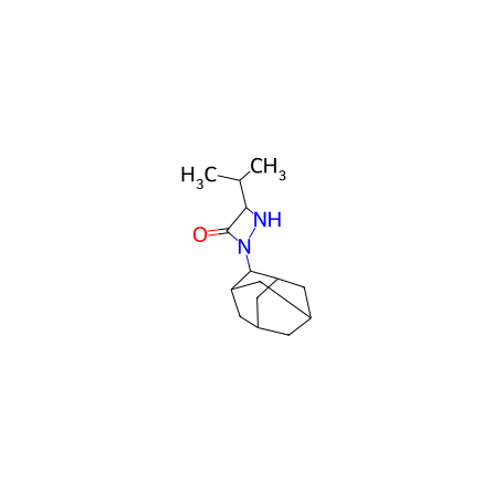 CC(C)C1NN(C2C3CC4CC(C3)CC2C4)C1=O